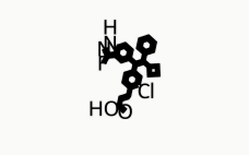 O=C(O)C=Cc1ccc(C(=C(c2ccccc2)C2CCC2)c2ccc3[nH]nc(F)c3c2)cc1Cl